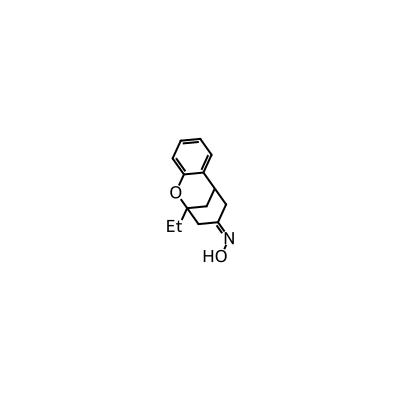 CCC12CC(=NO)CC(C1)c1ccccc1O2